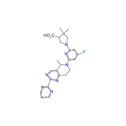 CC1c2cnc(-c3ncccn3)nc2CCN1c1cc(F)cc(N2CC(C(=O)O)C(C)(C)C2)n1